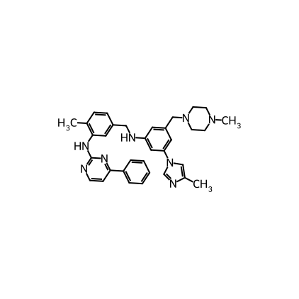 Cc1cn(-c2cc(CN3CCN(C)CC3)cc(NCc3ccc(C)c(Nc4nccc(-c5ccccc5)n4)c3)c2)cn1